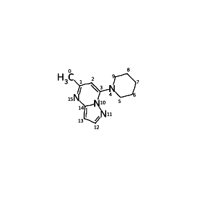 Cc1cc(N2CCCCC2)n2nccc2n1